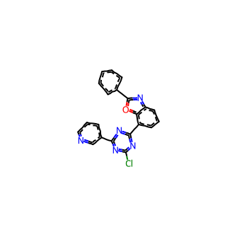 Clc1nc(-c2cccnc2)nc(-c2cccc3nc(-c4ccccc4)oc23)n1